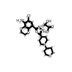 Nc1c(Cl)cc(-c2nnc(C3CCN(C4CCOCC4)CC3)o2)c2c1OCCO2.O=C(O)C(=O)O